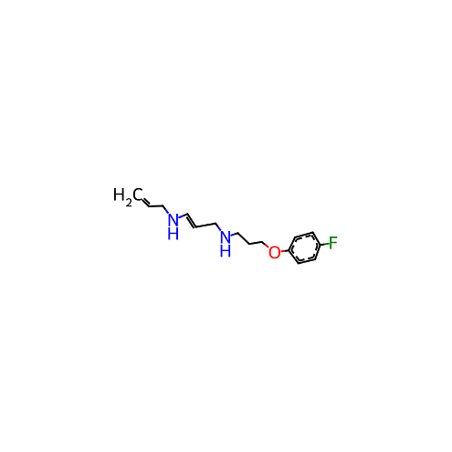 C=CCNC=CCNCCCOc1ccc(F)cc1